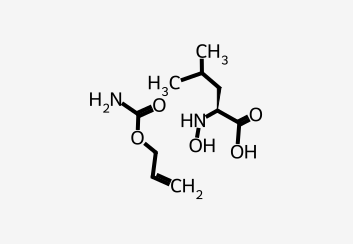 C=CCOC(N)=O.CC(C)C[C@H](NO)C(=O)O